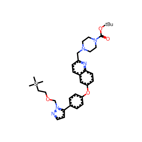 CC(C)(C)OC(=O)N1CCN(Cc2ccc3cc(Oc4ccc(-c5ccnn5COCC[Si](C)(C)C)cc4)ccc3n2)CC1